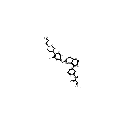 C=CC(=O)Nc1cccc(-c2cccc3cnc(Nc4ccc(N5CCN(CCF)CC5)c(F)c4)nc23)c1